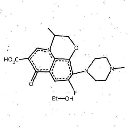 CC1COc2c(N3CCN(C)CC3)c(F)cc3c(=O)c(C(=O)O)cn1c23.CCO